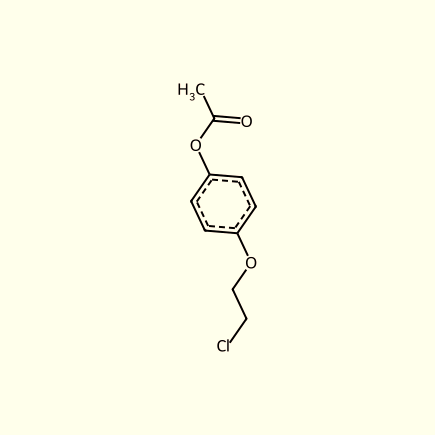 CC(=O)Oc1ccc(OCCCl)cc1